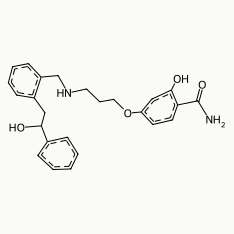 NC(=O)c1ccc(OCCCNCc2ccccc2CC(O)c2ccccc2)cc1O